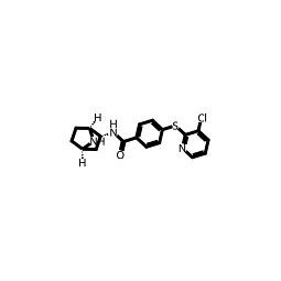 O=C(N[C@@H]1C[C@H]2CC[C@@H]1N2)c1ccc(Sc2ncccc2Cl)cc1